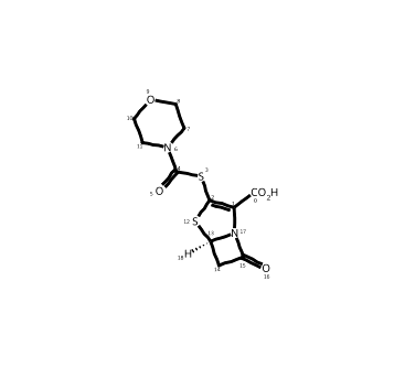 O=C(O)C1=C(SC(=O)N2CCOCC2)S[C@@H]2CC(=O)N12